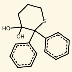 OC1(O)CCCSC1(c1ccccc1)c1ccccc1